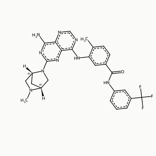 Cc1ccc(C(=O)Nc2cccc(C(F)(F)F)c2)cc1Nc1ncnc2c(N)nc(N3C[C@H]4C[C@@H]3CN4C)nc12